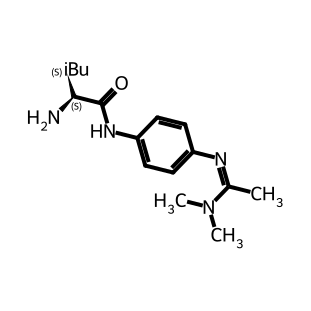 CC[C@H](C)[C@H](N)C(=O)Nc1ccc(N=C(C)N(C)C)cc1